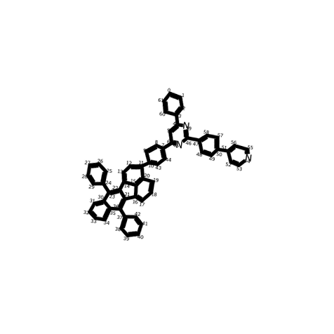 c1ccc(-c2cc(-c3ccc(-c4ccc5c6c(cccc46)-c4c-5c(-c5ccccc5)c5ccccc5c4-c4ccccc4)cc3)nc(-c3ccc(-c4ccncc4)cc3)n2)cc1